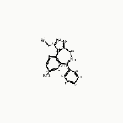 BrCc1nnc2n1-c1ccc(Br)cc1C(c1ccccc1)=NC2